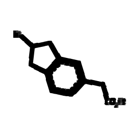 CCOC(=O)Cc1ccc2c(c1)CC(CC)C2